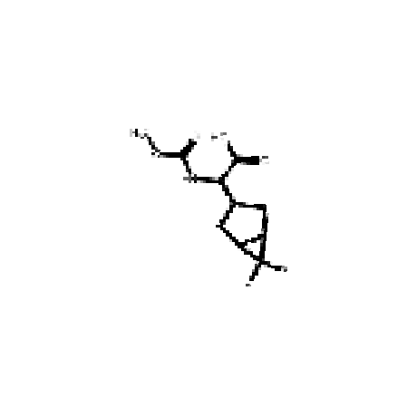 COC(=O)NC(C(=O)O)C1CC2C(C1)C2(F)F